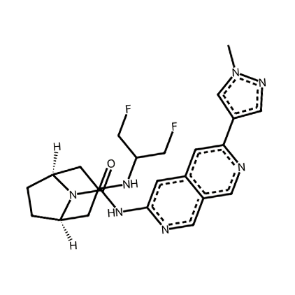 Cn1cc(-c2cc3cc(NC(=O)N4[C@@H]5CC[C@H]4CC(NC(CF)CF)C5)ncc3cn2)cn1